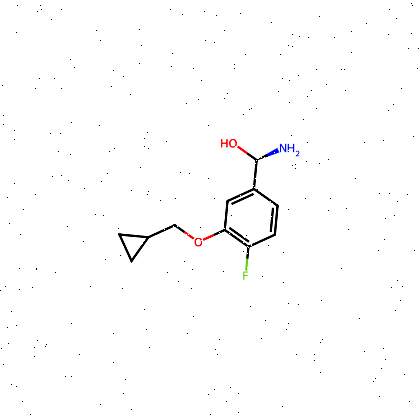 N[C@H](O)c1ccc(F)c(OCC2CC2)c1